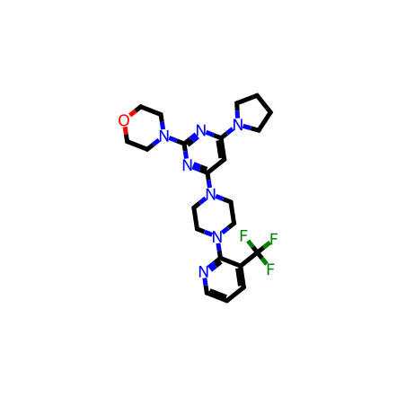 FC(F)(F)c1cccnc1N1CCN(c2cc(N3CCCC3)nc(N3CCOCC3)n2)CC1